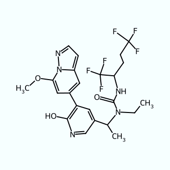 CCN(C(=O)NC(CCC(F)(F)F)C(F)(F)F)C(C)c1cnc(O)c(-c2cc(OC)n3nccc3c2)c1